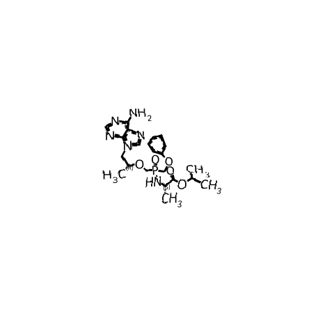 CC(C)OC(=O)[C@H](C)NP(=O)(COc1ccccc1)CO[C@H](C)Cn1cnc2c(N)ncnc21